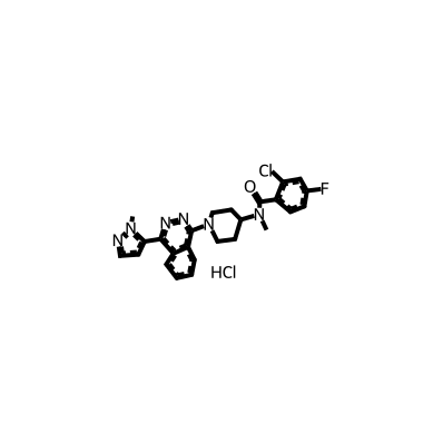 CN(C(=O)c1ccc(F)cc1Cl)C1CCN(c2nnc(-c3ccnn3C)c3ccccc23)CC1.Cl